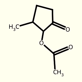 CC(=O)OC1C(=O)CCC1C